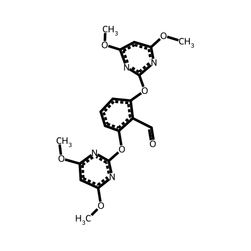 COc1cc(OC)nc(Oc2cccc(Oc3nc(OC)cc(OC)n3)c2C=O)n1